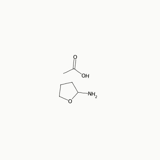 CC(=O)O.NC1CCCO1